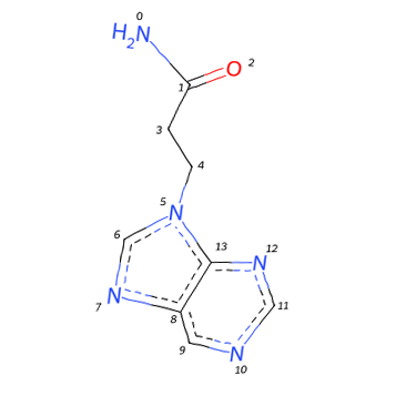 NC(=O)CCn1cnc2cncnc21